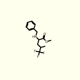 COC(=O)C(CC(C)C(F)(F)F)NCc1ccccc1